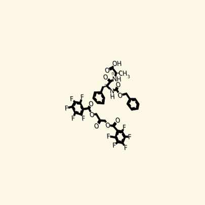 C[C@H](NC(=O)[C@H](Cc1ccccc1)NC(=O)OCc1ccccc1)C(=O)O.O=C(COC(=O)c1c(F)c(F)c(F)c(F)c1F)COC(=O)c1c(F)c(F)c(F)c(F)c1F